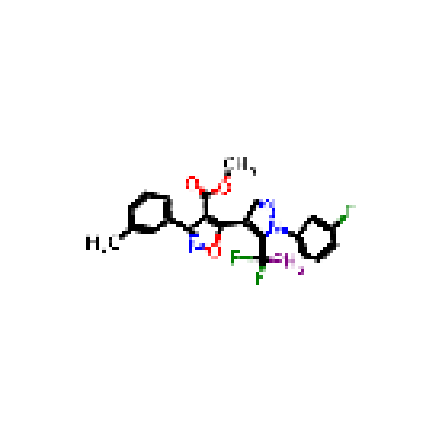 COC(=O)c1c(-c2cccc(C)c2)noc1-c1cnn(-c2cccc(F)c2)c1C(F)(F)P